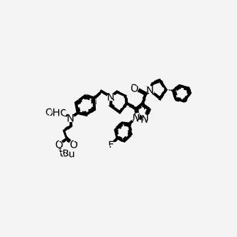 CC(C)(C)OC(=O)CCN(C=O)c1ccc(CN2CCC(c3c(C(=O)N4CC[C@H](c5ccccc5)C4)cnn3-c3ccc(F)cc3)CC2)cc1